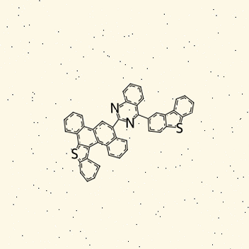 c1ccc2c(-c3ccc4sc5ccccc5c4c3)nc(-c3cc4c5ccccc5c5sc6ccccc6c5c4c4ccccc34)nc2c1